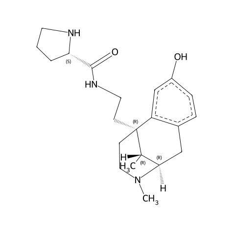 C[C@H]1[C@H]2Cc3ccc(O)cc3[C@]1(CCNC(=O)[C@@H]1CCCN1)CCN2C